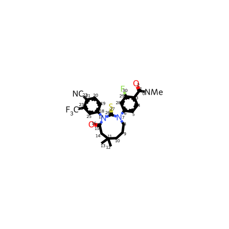 CNC(=O)c1ccc(N2CCCC(C)(C)CC(=O)N(c3ccc(C#N)c(C(F)(F)F)c3)C2=S)cc1F